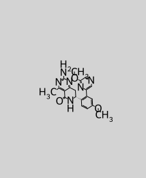 COc1ccc([C@H]2Cc3nc(N)nc(C)c3C(=O)N2)c(-c2cncc(OC)n2)c1